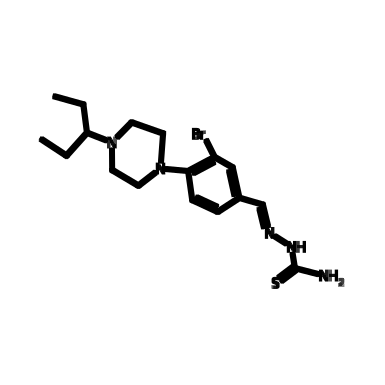 CCC(CC)N1CCN(c2ccc(C=NNC(N)=S)cc2Br)CC1